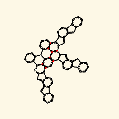 C1=c2c(ccc3c2=Cc2nc(-c4ccccc4N(c4ccccc4-c4ccc5c(n4)C=c4c-5ccc5c4=Cc4ccccc4-5)c4ccccc4-c4ccc5c(n4)C=c4c-5ccc5c4=Cc4ccccc4-5)ccc2-3)-c2ccccc21